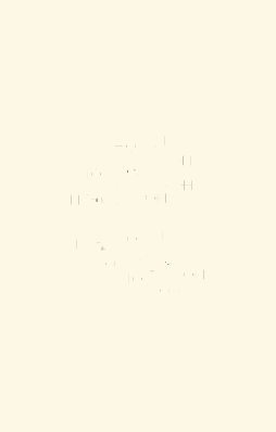 OCC1OC(OC2[C@H](O)C(O)C(OC3(CO)O[C@H](CO)C(O)[C@@H]3O)O[C@@H]2CO)[C@H](O)C(O)[C@@H]1O[C@H]1O[C@H](CO)C(O)[C@H](O)C1O